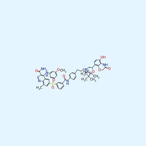 COc1cccc(Nc2c(C(N)=O)cnc3c(C)cc(S(=O)(=O)c4cccc(C(=O)Nc5ccc(CCCNC[C@H](O[Si](C)(C)C(C)(C)C)c6ccc(O)c7c6OCC(=O)N7)cc5)c4)cc23)c1